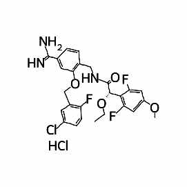 CCO[C@H](C(=O)NCc1ccc(C(=N)N)cc1OCc1cc(Cl)ccc1F)c1c(F)cc(OC)cc1F.Cl